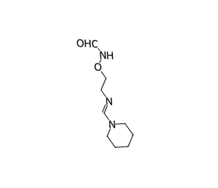 O=CNOCC/N=C/N1CCCCC1